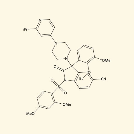 CCOc1c(OC)cccc1C1(N2CCN(c3ccnc(C(C)C)c3)CC2)C(=O)N(S(=O)(=O)c2ccc(OC)cc2OC)c2ccc(C#N)cc21